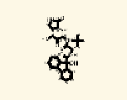 CC(C)(C)C[C@H](NC(=O)C1(O)c2ccccc2-c2ccccc21)C(=O)N[C@@H](C[C@H]1CCNC1=O)C(=O)CO